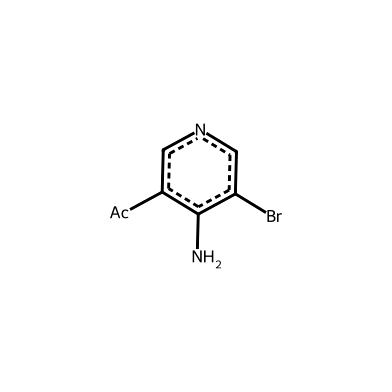 CC(=O)c1cncc(Br)c1N